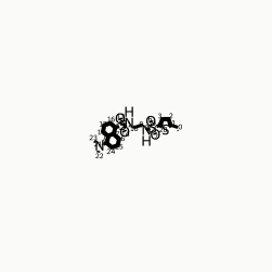 [CH2]c1ccc(S(=O)(=O)NCCNS(=O)(=O)c2cccc3c(N(C)C)cccc23)s1